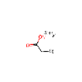 CCCC(=O)O.[SnH2]